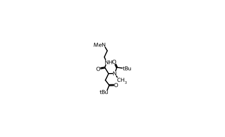 CNCCNC(=O)C(CC(=O)C(C)(C)C)N(C)C(=O)C(C)(C)C